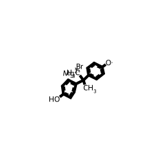 CC(C)(c1ccc([O])cc1)c1ccc(O)cc1.[Mg+2][Br]